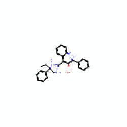 CCC1(c2ccccc2)CN=C(c2c(OC)c(-c3ccccc3)nc3ccccc23)N1C